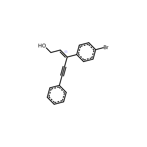 OC/C=C(\C#Cc1ccccc1)c1ccc(Br)cc1